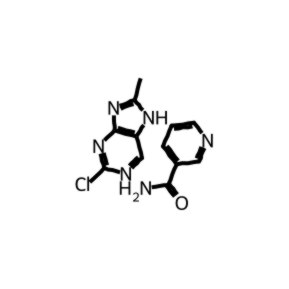 Cc1nc2nc(Cl)ncc2[nH]1.NC(=O)c1cccnc1